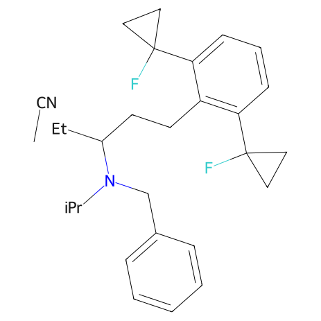 CC#N.CCC(CCc1c(C2(F)CC2)cccc1C1(F)CC1)N(Cc1ccccc1)C(C)C